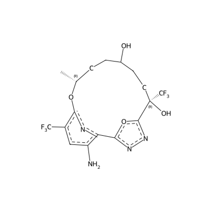 C[C@@H]1CCC(O)CC[C@](O)(C(F)(F)F)c2nnc(o2)-c2nc(c(C(F)(F)F)cc2N)O1